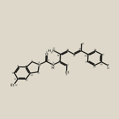 CC/C=C(NC(=O)N1Cc2ccc(CC)cc2C1)/C(N)=C\C=C(/C)c1ccc(F)cc1